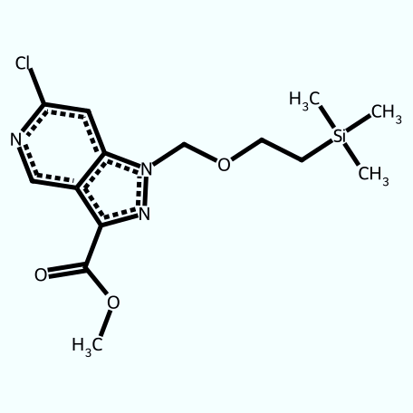 COC(=O)c1nn(COCC[Si](C)(C)C)c2cc(Cl)ncc12